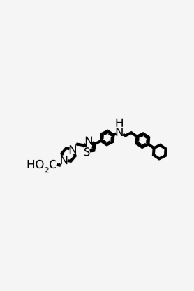 O=C(O)CN1CCN(Cc2nc(-c3ccc(NCCc4ccc(C5CCCCC5)cc4)cc3)cs2)CC1